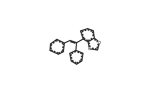 C(=C(c1ccccc1)c1cccc2ocnc12)c1ccccc1